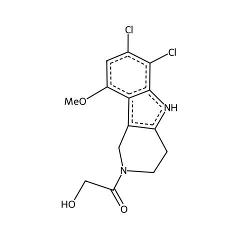 COc1cc(Cl)c(Cl)c2[nH]c3c(c12)CN(C(=O)CO)CC3